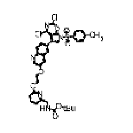 Cc1ccc(S(=O)(=O)n2cc(-c3ccc4ncc(OCCOc5cccc(CNC(=O)OC(C)(C)C)n5)cc4c3)c3c(Cl)nc(Cl)nc32)cc1